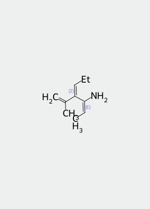 C=C(C)C(=C/CC)/C(N)=C\C